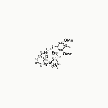 COc1cc(C[C@H](Cn2cc3cccc(C(=O)O)c3n2)OCCc2ccccc2)cc(OC)c1C